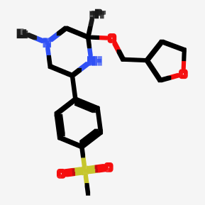 CCCC1(OCC2CCOC2)CN(CC)CC(c2ccc(S(C)(=O)=O)cc2)N1